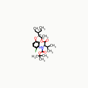 CCC(CC)[C@@H](Oc1ccc(F)cc1)[C@H](C)OC(=O)[C@@H](NC(=O)OC(C)(C)C)C(C)C